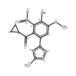 COc1cc(-c2noc(C)n2)c(C(=O)C2CC2)c([N+](=O)[O-])c1O